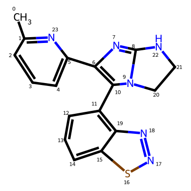 Cc1cccc(-c2nc3n(c2-c2cccc4snnc24)CCN3)n1